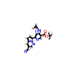 CC(C)(C)OC(=O)c1cnc(-c2ccc3cc(C#N)cnn23)cc1NC1CC1